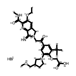 Br.CCOc1cc2c(nc1C(=O)NC)C(=N)N(CC(=O)c1cc(N3CCC(COC)C3)c(OCC(=O)O)c(C(C)(C)C)c1)C2